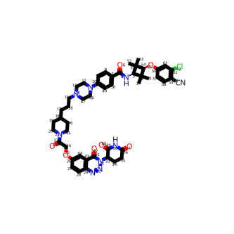 CC1(C)[C@H](NC(=O)c2ccc(N3CCN(CCCC4CCN(C(=O)COc5ccc6nnn(C7CCC(=O)NC7=O)c(=O)c6c5)CC4)CC3)cc2)C(C)(C)[C@H]1Oc1ccc(C#N)c(Cl)c1